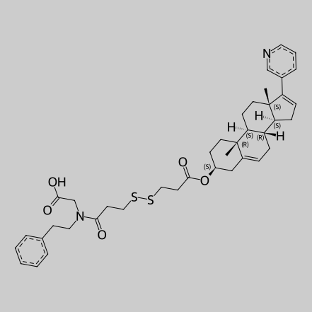 C[C@]12CC[C@H](OC(=O)CCSSCCC(=O)N(CCc3ccccc3)CC(=O)O)CC1=CC[C@@H]1[C@@H]2CC[C@]2(C)C(c3cccnc3)=CC[C@@H]12